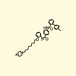 Cc1ccc(-c2ccccc2C(=O)Nc2ccc(C(=O)N(C)c3ccccc3OCCCCCCCCN3CCN(C)CC3)cc2)cc1